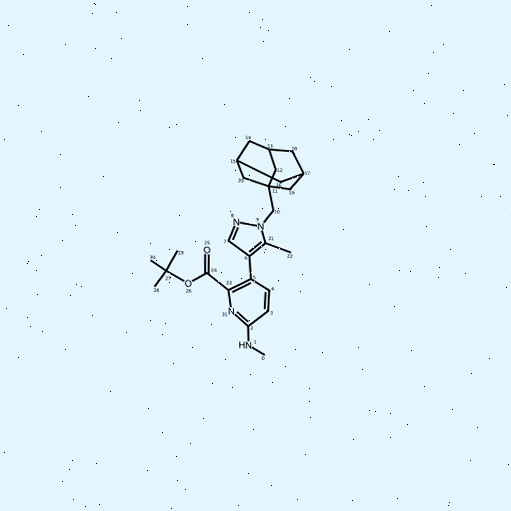 CNc1ccc(-c2cnn(CC34CC5CC(CC(C5)C3)C4)c2C)c(C(=O)OC(C)(C)C)n1